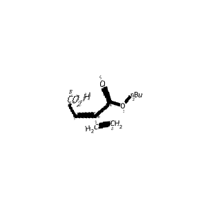 C=C.CCCCOC(=O)/C=C\C(=O)O